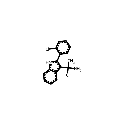 CC(C)(N)c1c(-c2ccccc2Cl)[nH]c2ccccc12